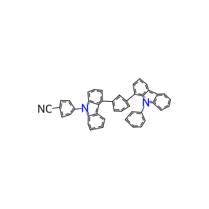 N#Cc1ccc(-n2c3ccccc3c3c(-c4cccc(-c5cccc6c7ccccc7n(-c7ccccc7)c56)c4)cccc32)cc1